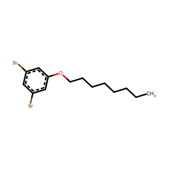 CCCCCCCCOc1cc(Br)cc(Br)c1